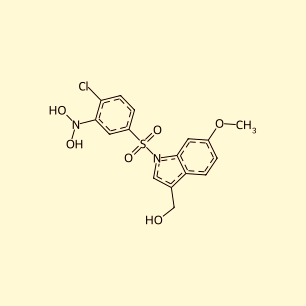 COc1ccc2c(CO)cn(S(=O)(=O)c3ccc(Cl)c(N(O)O)c3)c2c1